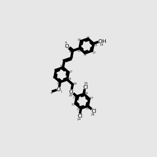 COc1ccc(/C=C/C(=O)c2ccc(O)cc2)cc1COc1cc(Cl)c(Cl)cc1Cl